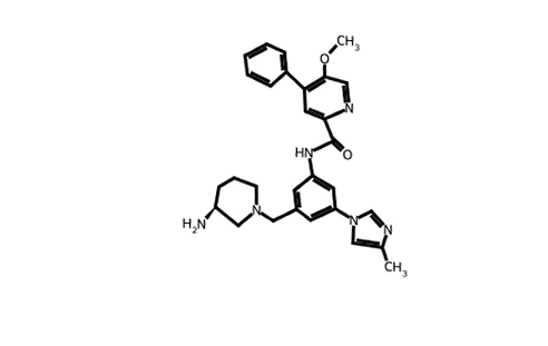 COc1cnc(C(=O)Nc2cc(CN3CCC[C@H](N)C3)cc(-n3cnc(C)c3)c2)cc1-c1ccccc1